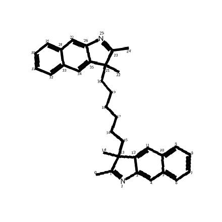 CC1=Nc2cc3ccccc3cc2C1(C)CCCCCCC1(C)C(C)=Nc2cc3ccccc3cc21